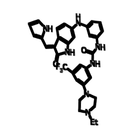 CCN1CCN(c2cc(NC(=O)Nc3cccc(Nc4ccc5c(c4)NC(=O)C5=Cc4ccc[nH]4)c3)cc(C(F)(F)F)c2)CC1